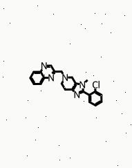 Cn1c(-c2ccccc2Cl)nc2c1CN(Cc1cnc3ccccc3n1)CC2